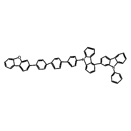 c1ccc(-n2c3ccccc3c3ccc(-c4cccc5c4c4ccccc4n5-c4ccc(-c5ccc(-c6ccc(-c7ccc8c(c7)oc7ccccc78)cc6)cc5)cc4)cc32)cc1